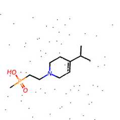 CC(C)C1=CCN(CCP(C)(=O)O)CC1